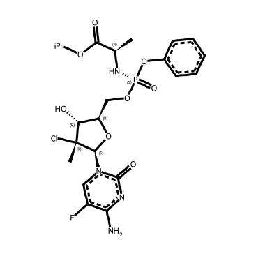 CC(C)OC(=O)[C@@H](C)N[P@](=O)(OC[C@H]1O[C@@H](n2cc(F)c(N)nc2=O)[C@](C)(Cl)[C@@H]1O)Oc1ccccc1